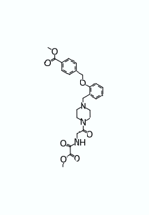 COC(=O)C(=O)NCC(=O)N1CCN(Cc2ccccc2OCc2ccc(C(=O)OC)cc2)CC1